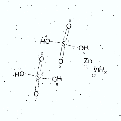 O=S(=O)(O)O.O=S(=O)(O)O.[InH3].[Zn]